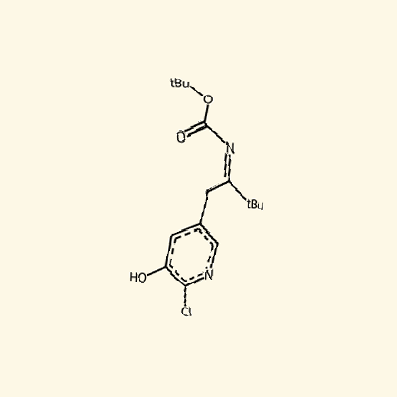 CC(C)(C)OC(=O)/N=C(\Cc1cnc(Cl)c(O)c1)C(C)(C)C